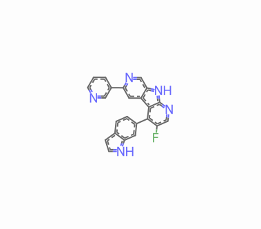 Fc1cnc2[nH]c3cnc(-c4cccnc4)cc3c2c1-c1ccc2cc[nH]c2c1